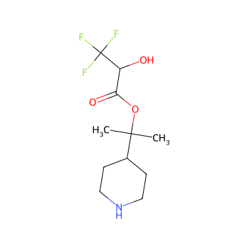 CC(C)(OC(=O)C(O)C(F)(F)F)C1CCNCC1